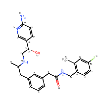 CC(Cc1cccc(CC(=O)NCc2ccc(F)cc2C(F)(F)F)c1)NC[C@@H](O)c1ccc(N)nc1